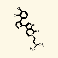 CN(C)CCn1ccc2c(-c3oncc3-c3cccc(Cl)c3Cl)c[nH]c2c1=O